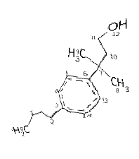 [CH2]CCc1ccc(C(C)(C)CCO)cc1